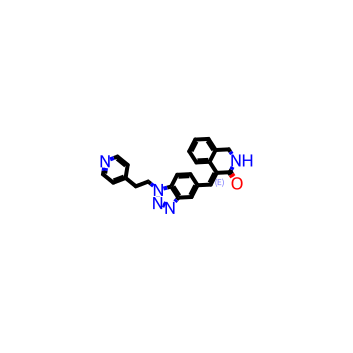 O=C1NCc2ccccc2/C1=C\c1ccc2c(c1)nnn2CCc1ccncc1